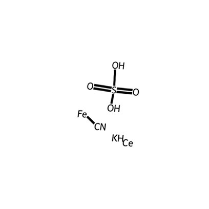 N#[C][Fe].O=S(=O)(O)O.[Ce].[KH]